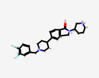 O=C1c2ccc(C3CCN(Cc4ccc(F)c(F)c4)CC3)cc2CN1C1CCCNC1